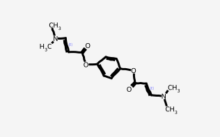 CN(C)/C=C/C(=O)Oc1ccc(OC(=O)/C=C/N(C)C)cc1